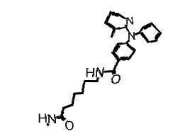 CNC(=O)CCCCCCNC(=O)c1ccc(N(c2ccccc2)c2ncccc2C)cc1